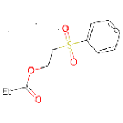 CCC(=O)OCCS(=O)(=O)c1ccccc1